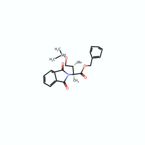 C[SiH](C)OC[C@H](C(C)(C)C)[C@@](C)(C(=O)OCc1ccccc1)N1C(=O)c2ccccc2C1=O